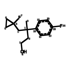 CC(CCO)(CC1(F)CC1)c1ccc(F)cc1